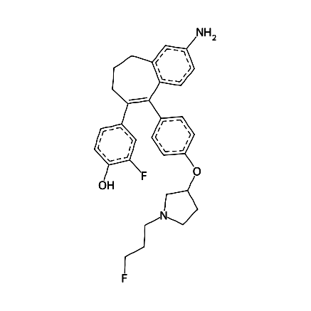 Nc1ccc2c(c1)CCCC(c1ccc(O)c(F)c1)=C2c1ccc(OC2CCN(CCCF)C2)cc1